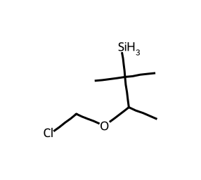 CC(OCCl)C(C)(C)[SiH3]